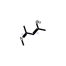 CCC(C)/C(C)=C\C(C)=N/C